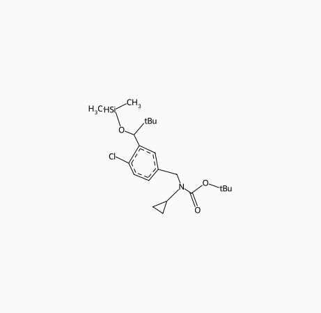 C[SiH](C)OC(c1cc(CN(C(=O)OC(C)(C)C)C2CC2)ccc1Cl)C(C)(C)C